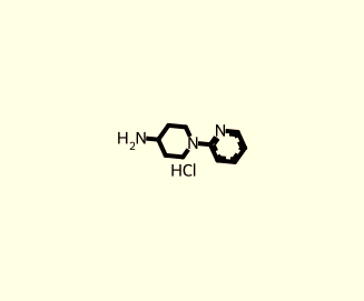 Cl.NC1CCN(c2ccccn2)CC1